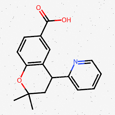 CC1(C)CC(c2ccccn2)c2cc(C(=O)O)ccc2O1